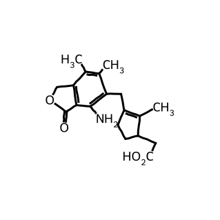 CC1=C(Cc2c(C)c(C)c3c(c2N)C(=O)OC3)CCC1CC(=O)O